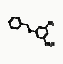 O=C(O)c1cc(SCc2ccccc2)cc(C(F)(F)F)c1